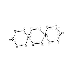 C1C[N+]2(CCO1)CC[N+]1(CCOCC1)CC2